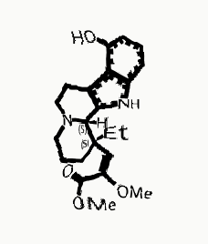 CC[C@@]1(C=C(OC)C(=O)OC)CCCN2CCc3c([nH]c4cccc(O)c34)[C@@H]21